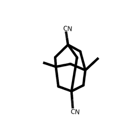 CC12CC3(C)CC(C#N)(C1)CC(C#N)(C2)C3